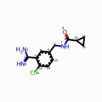 N=C(N)c1cc(CNC(=O)C2CC2)ccc1Cl